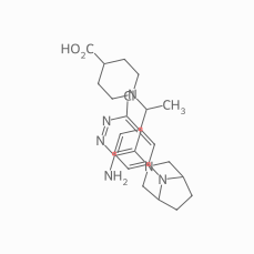 CC(c1cccc(N2C3CCC2CN(c2cc(Cl)nnc2N)C3)c1)N1CCC(C(=O)O)CC1